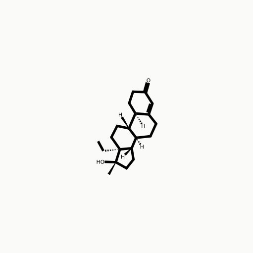 CC[C@]12CC[C@H]3[C@@H](CCC4=CC(=O)CC[C@@H]43)[C@@H]1CC[C@]2(C)O